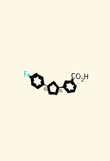 O=C(O)c1cccc([C@H]2CC[C@H](c3ccc(F)cc3)C2)c1